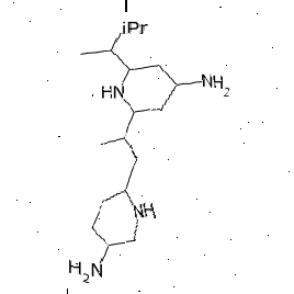 CC(C)C(C)C1CC(N)CC(C(C)CC2CCC(N)CN2)N1